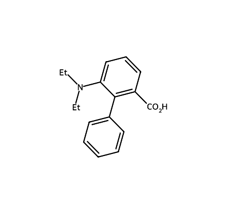 CCN(CC)c1cccc(C(=O)O)c1-c1ccccc1